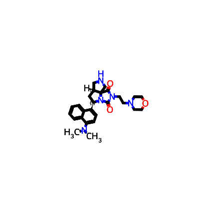 CN(C)c1ccc([C@@H]2C[C@H]3CNCC34C(=O)N(CCN3CCOCC3)C(=O)N24)c2ccccc12